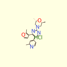 Cc1cc(-c2cnc(N3C[C@H](C)O[C@@H](C)C3)nc2-c2ccoc2C)ccn1.Cl